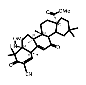 CON[C@@]12CC[C@]3(C)C(=CC(=O)C4C5CC(C)(C)CC[C@]5(C(=O)OC)CC[C@]43C)[C@@]1(C)C=C(C#N)C(=O)C2(C)C